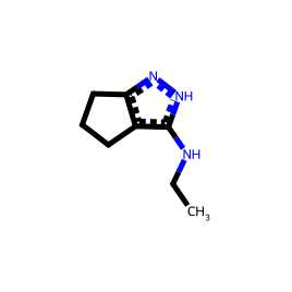 CCNc1[nH]nc2c1CCC2